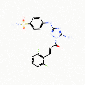 Nc1nc(Nc2ccc(S(N)(=O)=O)cc2)nn1C(=O)/C=C/c1c(F)cccc1F